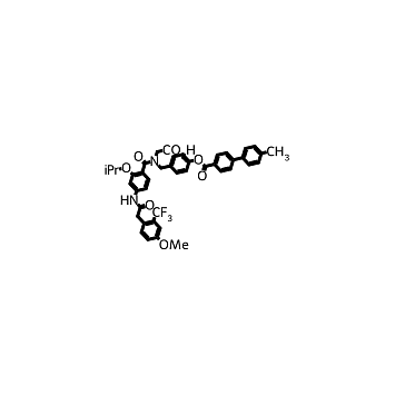 COc1ccc(CC(=O)Nc2ccc(C(=O)N(CC(=O)O)Cc3ccc(OC(=O)c4ccc(-c5ccc(C)cc5)cc4)cc3)c(OC(C)C)c2)c(C(F)(F)F)c1